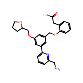 NCc1cccc(-c2cc(COc3ccccc3CC(=O)O)cc(OCC3CCCO3)c2)n1